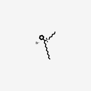 CCCCCCCCCCC(c1ccccc1)[P+](C)(C)CCCCCC.[Br-]